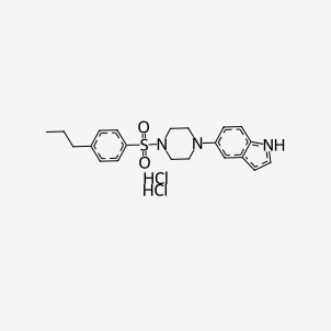 CCCc1ccc(S(=O)(=O)N2CCN(c3ccc4[nH]ccc4c3)CC2)cc1.Cl.Cl